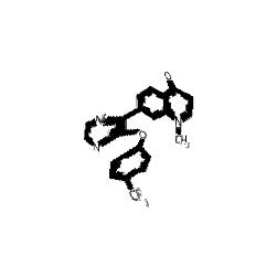 Cn1ccc(=O)c2ccc(-c3nccnc3Oc3ccc(C(F)(F)F)cc3)cc21